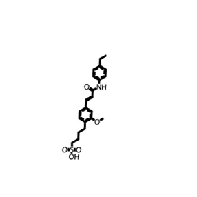 CCc1ccc(NC(=O)C=Cc2ccc(CCCCS(=O)(=O)O)c(OC)c2)cc1